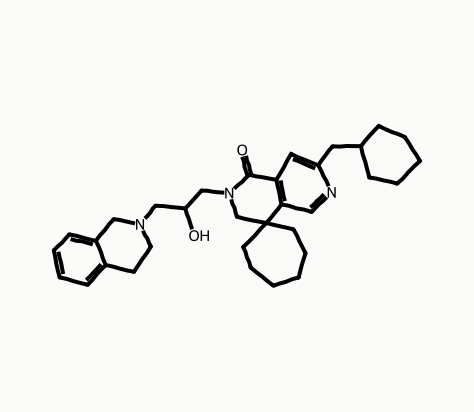 O=C1c2cc(CC3CCCCC3)ncc2C2(CCCCCC2)CN1CC(O)CN1CCc2ccccc2C1